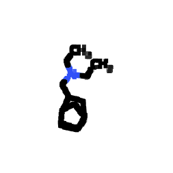 CCN(CC)CC1CC2C=CC1C2